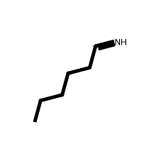 CCCCC[C]=N